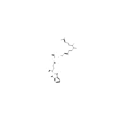 CC(C)=CCCC(C)C(C)CC/C(C)=C/CSC[C@H](NC(=O)CCC(C(=O)O)N1C(=O)c2ccccc2C1=O)C(=O)O